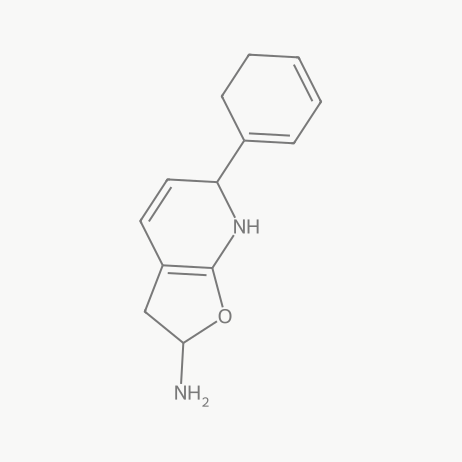 NC1CC2=C(NC(C3=CC=CCC3)C=C2)O1